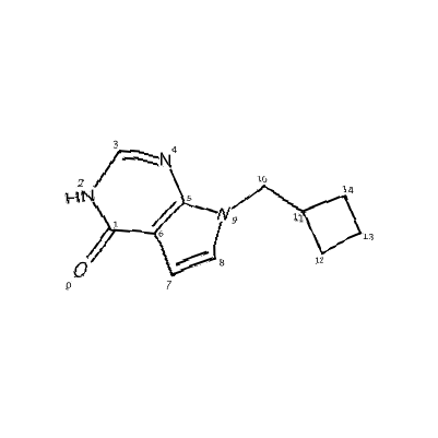 O=c1[nH]cnc2c1ccn2CC1CCC1